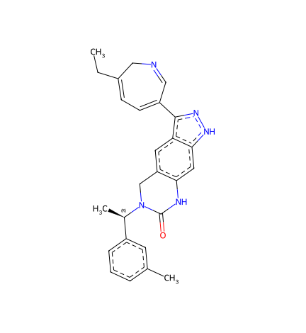 CCC1=CC=C(c2n[nH]c3cc4c(cc23)CN([C@H](C)c2cccc(C)c2)C(=O)N4)C=NC1